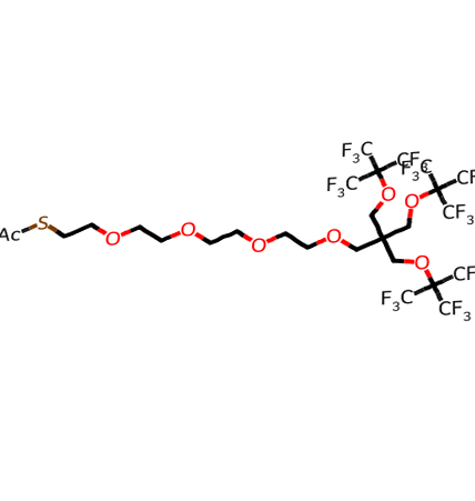 CC(=O)SCCOCCOCCOCCOCC(COC(C(F)(F)F)(C(F)(F)F)C(F)(F)F)(COC(C(F)(F)F)(C(F)(F)F)C(F)(F)F)COC(C(F)(F)F)(C(F)(F)F)C(F)(F)F